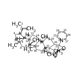 C=C(C)[C@@H]1CC[C@]2(C)CC[C@]3(C)[C@H](CCC4[C@@]5(C)CCC(C6([n+]7ccccc7)OC6=O)C(C)(C)[C@@H]5CC[C@]43C)[C@@H]12